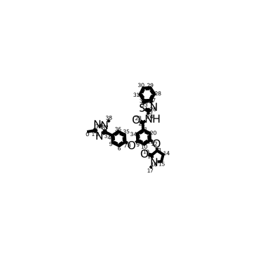 Cc1nc(-c2ccc(Oc3cc(OC4CCN(C)C4=O)cc(C(=O)Nc4nc5ccccc5s4)c3)cc2)n(C)n1